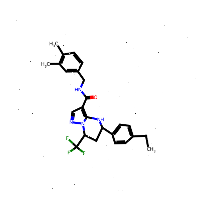 CCc1ccc(C2CC(C(F)(F)F)n3ncc(C(=O)NCc4ccc(C)c(C)c4)c3N2)cc1